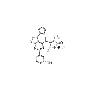 CC1=C(Nc2nc(-c3cccc(O)c3)nc3scc(-c4cccs4)c23)C(=O)NC1=O.Cl